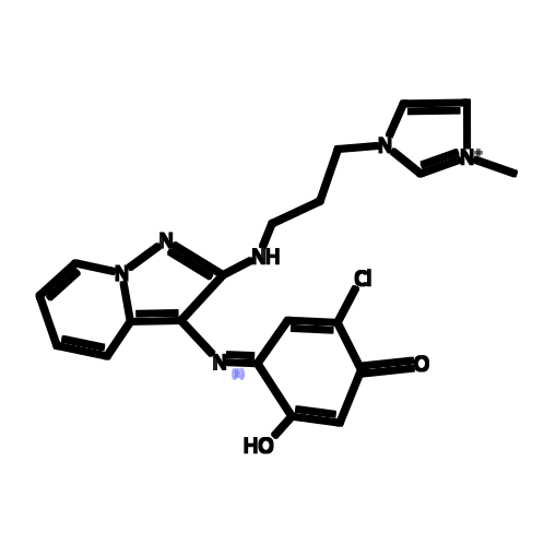 C[n+]1ccn(CCCNc2nn3ccccc3c2/N=C2\C=C(Cl)C(=O)C=C2O)c1